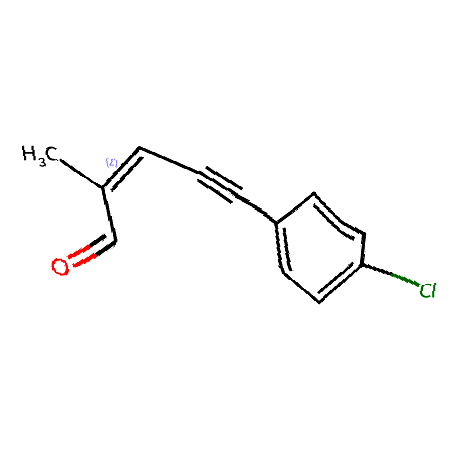 C/C(C=O)=C/C#Cc1ccc(Cl)cc1